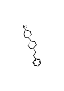 CC[C@H]1CC[C@H]([C@H]2CC[C@H](CCc3ccccc3)CC2)CC1